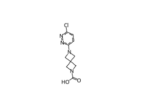 O=C(O)N1CC2(C1)CN(c1ccc(Cl)nn1)C2